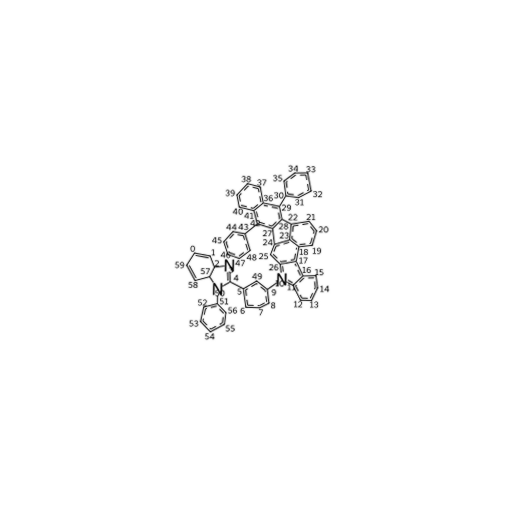 C1=CC2N=C(c3cccc(-n4c5ccccc5c5c6cccc7c6c(cc54)-c4c-7c(-c5ccccc5)c5ccccc5c4-c4ccccc4)c3)N(c3ccccc3)C2C=C1